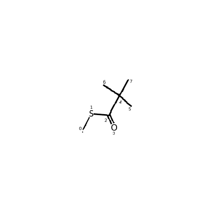 [CH2]SC(=O)C(C)(C)C